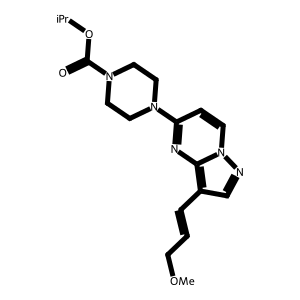 COC/C=C/c1cnn2ccc(N3CCN(C(=O)OC(C)C)CC3)nc12